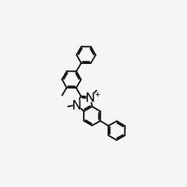 Cc1ccc(-c2ccccc2)cc1-c1n(C)c2ccc(-c3ccccc3)cc2[n+]1C